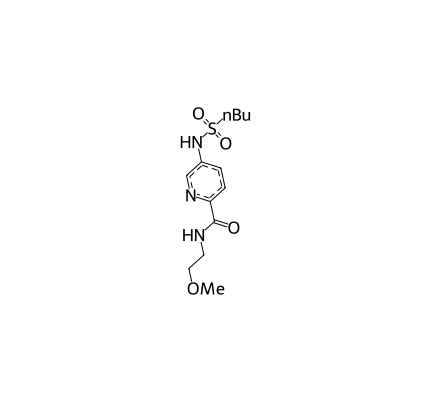 CCCCS(=O)(=O)Nc1ccc(C(=O)NCCOC)nc1